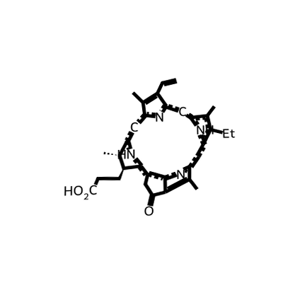 C=CC1=C(C)c2cc3[nH]c(c4c5nc(cc6[nH]c(cc1n2)c(C)c6CC)C(C)=C5C(=O)C4)[C@@H](CCC(=O)O)[C@@H]3C